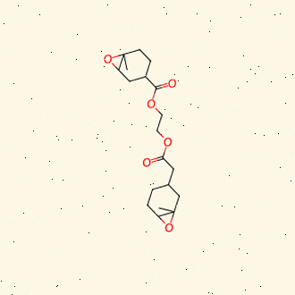 CC12CCC(C(=O)OCCOC(=O)CC3CCC4OC4(C)C3)CC1O2